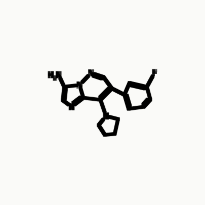 Nc1cnc2c(N3CCCC3)c(-c3cccc(F)c3)cnn12